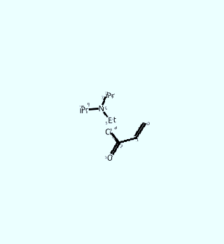 C=CC(=O)Cl.CCN(C(C)C)C(C)C